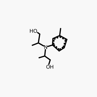 Cc1cccc(N(C(C)CO)C(C)CO)c1